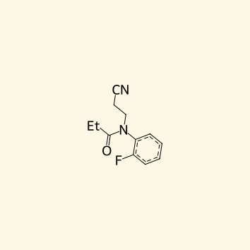 CCC(=O)N(CCC#N)c1ccccc1F